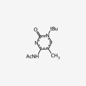 CC(=O)Nc1nc(=O)n(C(C)(C)C)cc1C